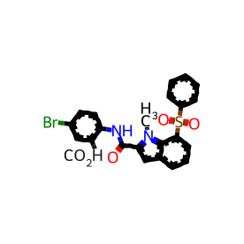 Cn1c(C(=O)Nc2ccc(Br)cc2C(=O)O)cc2cccc(S(=O)(=O)c3ccccc3)c21